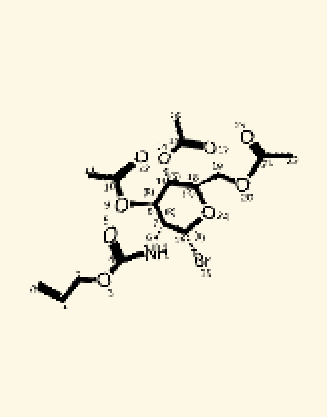 C=CCOC(=O)N[C@@H]1[C@@H](OC(C)=O)[C@H](OC(C)=O)[C@@H](COC(C)=O)O[C@@H]1Br